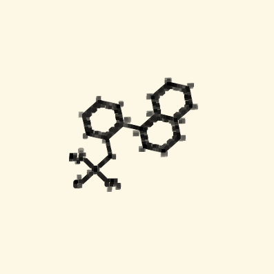 C[Si](C)(Cl)Cc1ccccc1-c1cccc2ccccc12